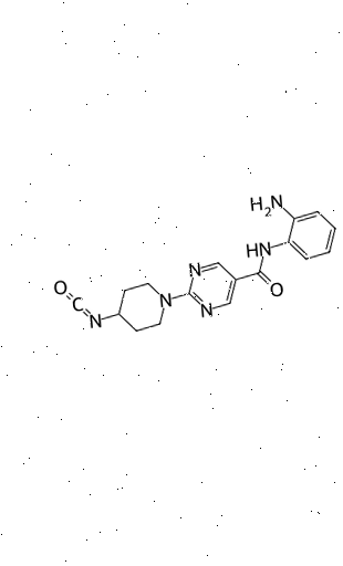 Nc1ccccc1NC(=O)c1cnc(N2CCC(N=C=O)CC2)nc1